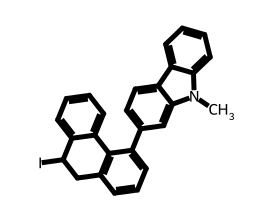 Cn1c2ccccc2c2ccc(-c3cccc4c3-c3ccccc3C(I)C4)cc21